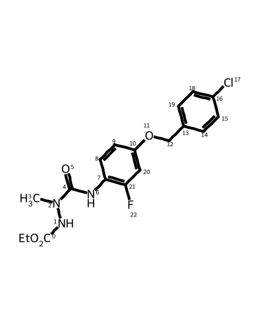 CCOC(=O)NN(C)C(=O)Nc1ccc(OCc2ccc(Cl)cc2)cc1F